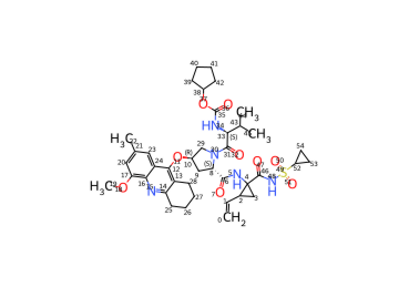 C=CC1CC1(NC(=O)[C@@H]1C[C@@H](Oc2c3c(nc4c(OC)cc(C)cc24)CCCC3)CN1C(=O)[C@@H](NC(=O)OC1CCCC1)C(C)C)C(=O)NS(=O)(=O)C1CC1